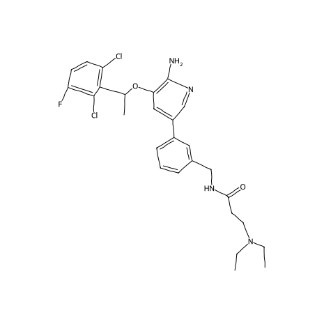 CCN(CC)CCC(=O)NCc1cccc(-c2cnc(N)c(OC(C)c3c(Cl)ccc(F)c3Cl)c2)c1